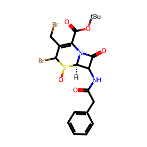 CC(C)(C)OC(=O)C1=C(CBr)C(Br)[S+]([O-])[C@@H]2C(NC(=O)Cc3ccccc3)C(=O)N12